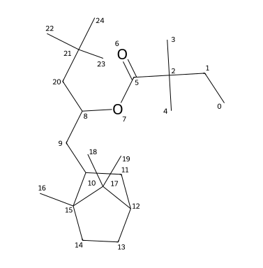 CCC(C)(C)C(=O)OC(CC1CC2CCC1(C)C2(C)C)CC(C)(C)C